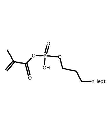 C=C(C)C(=O)OP(=O)(O)OCCCCCCCCCC